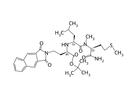 CSCC[C@@H](C(N)=O)N(C)C(=O)[C@H](CC(C)C)N[C@H](CCN1C(=O)c2cc3ccccc3cc2C1=O)C(=O)OC(C)(C)C